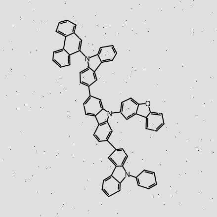 c1ccc(-n2c3ccccc3c3cc(-c4ccc5c6ccc(-c7ccc8c(c7)c7ccccc7n8-c7cc8ccccc8c8ccccc78)cc6n(-c6ccc7oc8ccccc8c7c6)c5c4)ccc32)cc1